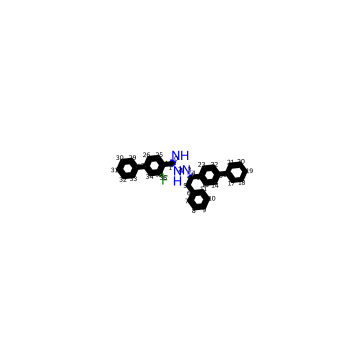 N=C(N/N=C(\Cc1ccccc1)c1ccc(C2=CCCC=C2)cc1)c1ccc(-c2ccccc2)cc1F